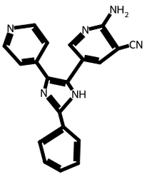 N#Cc1cc(-c2[nH]c(-c3ccccc3)nc2-c2ccncc2)cnc1N